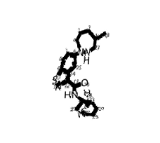 CC1CCCN(c2ccc3snc(C(=O)N[C@@H]4CN5CCC4CC5)c3c2)NC1